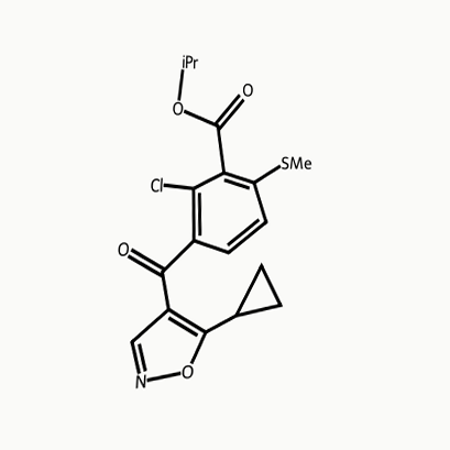 CSc1ccc(C(=O)c2cnoc2C2CC2)c(Cl)c1C(=O)OC(C)C